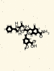 COc1ccc(CNC(Cc2c(C)cc(C(N)=O)cc2C)C(=O)NC(C)C2NC=C(c3ccccc3)N2)cc1C(=O)O